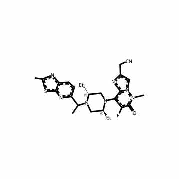 CC[C@H]1CN(C(C)c2ccc3nc(C)sc3n2)[C@H](CC)CN1c1c(F)c(=O)n(C)n2cc(CC#N)nc12